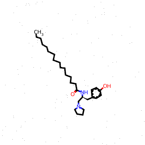 CCCCCCCCCCCCCCCC(=O)N[C@@H](Cc1ccc(O)cc1)CN1CCCC1